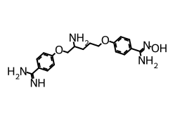 N=C(N)c1ccc(OCC(N)CCCOc2ccc(/C(N)=N/O)cc2)cc1